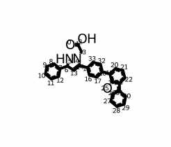 O=C(O)CN1NC(c2ccccc2)C=C1c1ccc(-c2cccc3c2oc2ccccc23)cc1